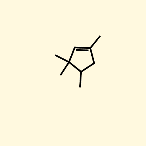 CC1=CC(C)(C)C(C)C1